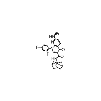 CC(C)Nc1ccc2c(=O)c(C(=O)NC34CC5CC(CC(C5)C3)C4)cn(-c3ccc(F)cc3F)c2n1